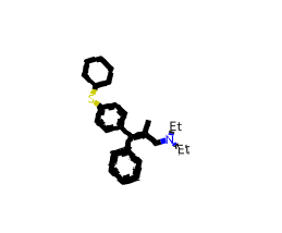 CCN(CC)CC(C)=C(c1ccccc1)c1ccc(SC2CCCCC2)cc1